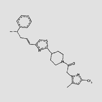 Cc1cc(C(F)(F)F)nn1CC(=O)N1CCC(c2nc(C=CCC(C)c3ccccc3)cs2)CC1